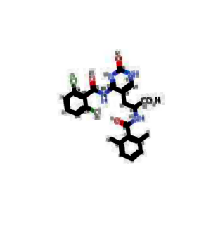 Cc1cccc(C)c1C(=O)NC(Cc1c[nH]c(=O)nc1NC(=O)c1c(Cl)cccc1Cl)C(=O)O